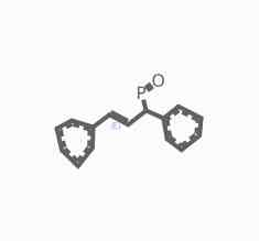 O=PC(/C=C/c1ccccc1)c1ccccc1